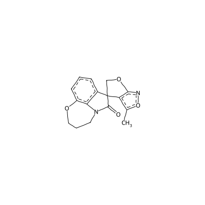 Cc1onc2c1C1(CO2)C(=O)N2CCCOc3cccc1c32